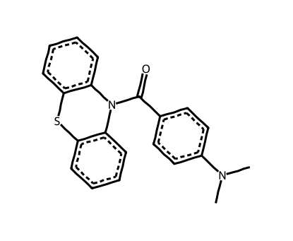 CN(C)c1ccc(C(=O)N2c3ccccc3Sc3ccccc32)cc1